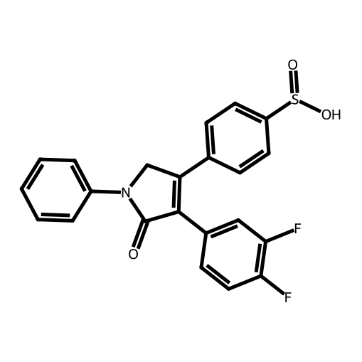 O=C1C(c2ccc(F)c(F)c2)=C(c2ccc(S(=O)O)cc2)CN1c1ccccc1